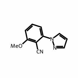 COc1cccc(-n2cccn2)c1C#N